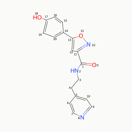 O=C(NCCc1ccncc1)c1cc(-c2ccc(O)cc2)on1